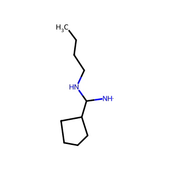 CCCCNC([NH])C1CCCC1